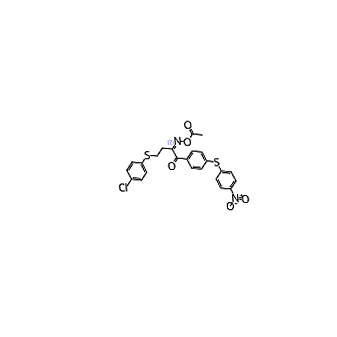 CC(=O)O/N=C(/CCSc1ccc(Cl)cc1)C(=O)c1ccc(Sc2ccc([N+](=O)[O-])cc2)cc1